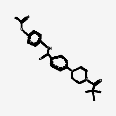 CC(=O)Oc1ccc(NC(=O)c2ccc(N3CCN(C(=O)C(C)(C)C)CC3)cc2)cc1